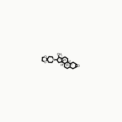 C[C@]12CC3OC3CC1CC[C@@H]1[C@H]2CC[C@]2(C)C(O)C(N3CCC4(CC3)OCCO4)C[C@@H]12